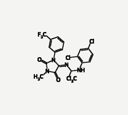 CN1C(=O)C(=NC(Nc2ccc(Cl)cc2Cl)C(Cl)(Cl)Cl)N(c2cccc(C(F)(F)F)c2)C1=O